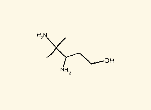 CC(C)(N)C(N)CCO